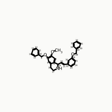 COc1cc2c(cc1OCc1ccccc1)CCNC2C=Cc1cccc(OCc2ccccc2)c1